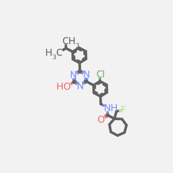 CC(C)c1cccc(-c2nc(O)nc(-c3cc(CNC(=O)C4(CF)CCCCCC4)ccc3Cl)n2)c1